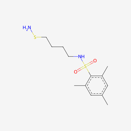 Cc1cc(C)c(S(=O)(=O)NCCCCSN)c(C)c1